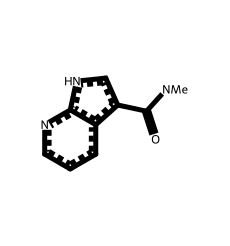 CNC(=O)c1c[nH]c2ncccc12